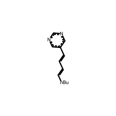 CCCCC=CC=Cc1cncnc1